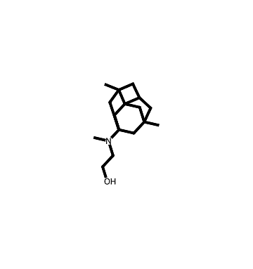 CN(CCO)C12CC3(C)CC4CC(C)(C1)C4(C3)C2